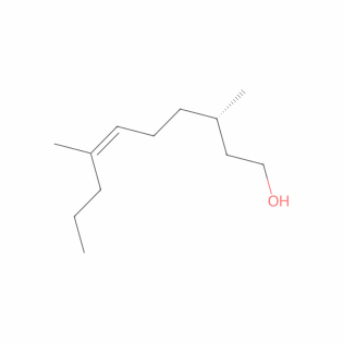 CCC/C(C)=C\CC[C@H](C)CCO